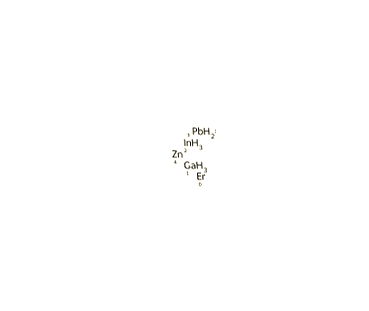 [Er].[GaH3].[InH3].[PbH2].[Zn]